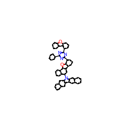 c1ccc(-c2nc(-c3cccc4c3oc3c5ccccc5c(-n5c6cc7ccccc7cc6c6cc7ccccc7cc65)cc43)nc(-c3cccc4oc5ccccc5c34)n2)cc1